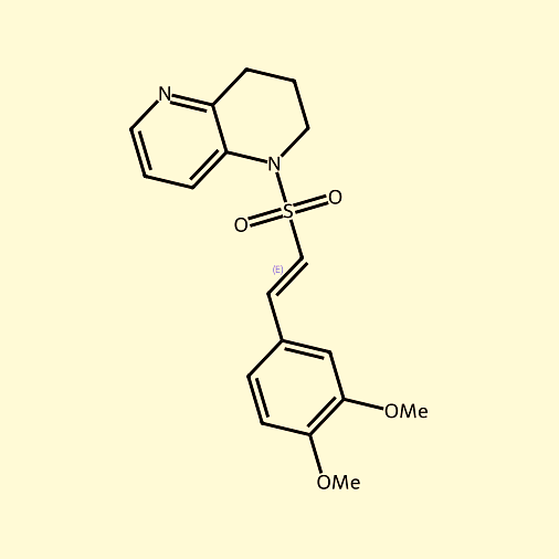 COc1ccc(/C=C/S(=O)(=O)N2CCCc3ncccc32)cc1OC